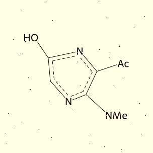 CNc1ncc(O)nc1C(C)=O